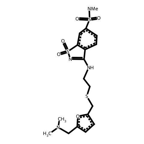 CNS(=O)(=O)c1ccc2c(c1)S(=O)(=O)N=C2NCCSCc1ccc(CN(C)C)o1